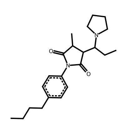 CCCCc1ccc(N2C(=O)C(C)C(C(CC)N3CCCC3)C2=O)cc1